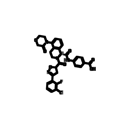 O=C(O)c1ccc(NC(=O)[C@H]2c3cccc(N4CCOCC4=O)c3CCN2C(=O)C2CC(c3cccc(Cl)c3F)=NO2)cc1